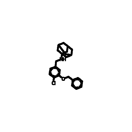 Clc1ccc(CNC23CC4CC(CC(C4)C2)C3)cc1OCc1ccccc1